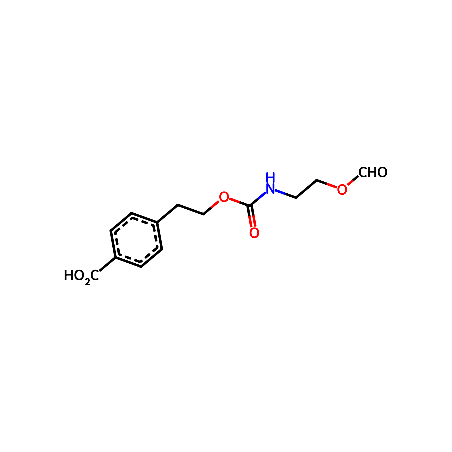 O=COCCNC(=O)OCCc1ccc(C(=O)O)cc1